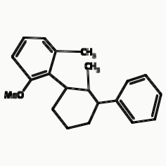 COc1cccc(C)c1C1CCCC(c2ccccc2)C1C